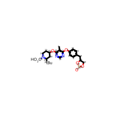 Cc1c(Oc2ccc(CC3COS(=O)O3)cc2)ncnc1OC1CCN(C(=O)O)C(C(C)(C)C)C1